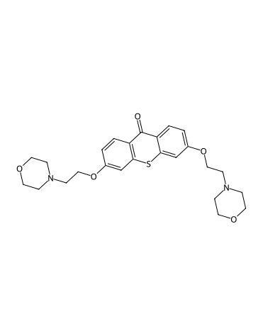 O=c1c2ccc(OCCN3CCOCC3)cc2sc2cc(OCCN3CCOCC3)ccc12